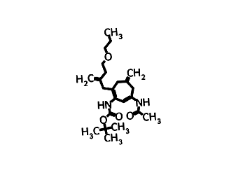 C=C(CCOCCC)CC1=C(NC(=O)OC(C)(C)C)C=C(NC(C)=O)CC(=C)C1